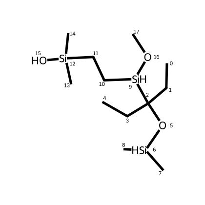 CCC(CC)(O[SiH](C)C)[SiH](CC[Si](C)(C)O)OC